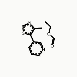 CCOC=O.Cc1ncsc1-c1cccnc1